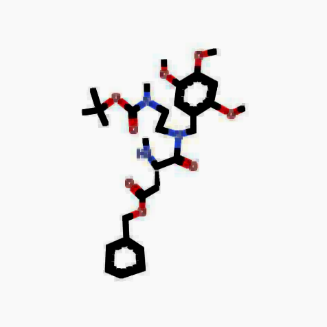 CN[C@@H](CC(=O)OCc1ccccc1)C(=O)N(CCN(C)C(=O)OC(C)(C)C)Cc1cc(OC)c(OC)cc1OC